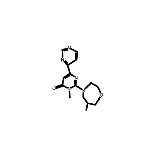 CC1COCCN(c2nc(-c3ccncn3)cc(=O)n2C)C1